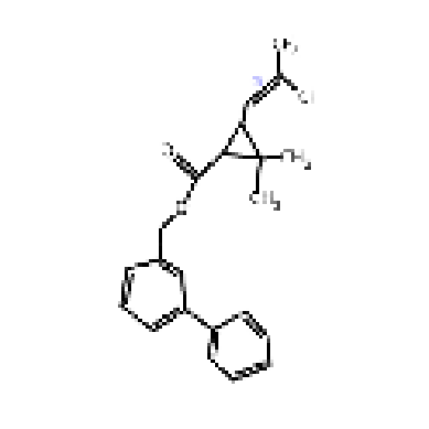 CC1(C)C(/C=C(\Cl)C(F)(F)F)C1C(=O)OCc1cccc(-c2ccccc2)c1